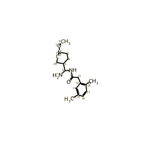 CON1CCC(C(N)NC(=O)Cc2cc(C)ccc2C)CC1